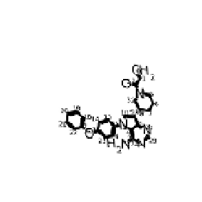 C=CC(=O)N1CCC[C@H](c2cn(-c3ccc(Oc4ccccc4)cc3)c3c(N)ncnc23)C1